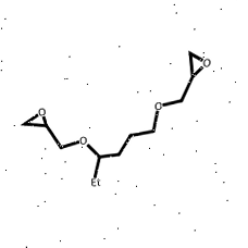 [CH2]CC(CCCOCC1CO1)OCC1CO1